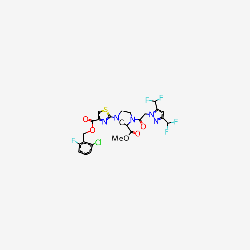 COC(=O)C1CN(c2nc(C(=O)OCc3c(F)cccc3Cl)cs2)CCN1C(=O)Cn1nc(C(F)F)cc1C(F)F